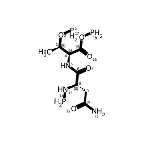 C[C@@H](OP)[C@H](NC(=O)[C@H](CC(N)=O)NP)C(=O)OP